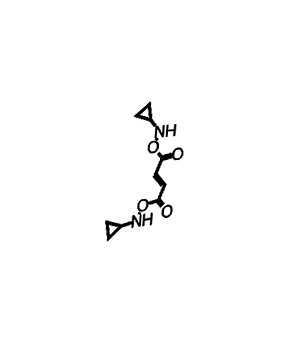 O=C(/C=C/C(=O)ONC1CC1)ONC1CC1